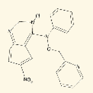 O=[N+]([O-])c1ccc2c(c1)=C(N(OCc1ccccn1)c1ccccc1)N(Cl)CN=2